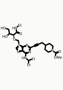 CCNC(=O)[C@@H](OCn1cnc2c(NC(CC)CC)nc(C#CCC3CCN(C(=O)OC)CC3)nc21)C(O)CO